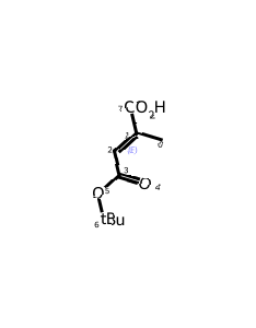 C/C(=C\C(=O)OC(C)(C)C)C(=O)O